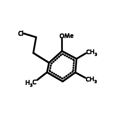 COc1c(C)c(C)cc(C)c1CCCl